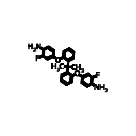 CC(C)(c1ccccc1Oc1ccc(N)c(F)c1)c1ccccc1Oc1ccc(N)c(F)c1